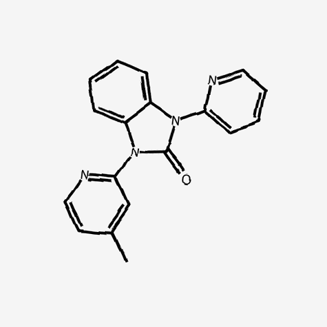 Cc1ccnc(-n2c(=O)n(-c3ccccn3)c3ccccc32)c1